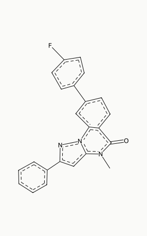 Cn1c(=O)c2ccc(-c3ccc(F)cc3)cc2n2nc(-c3ccccc3)cc12